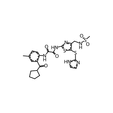 Cc1ccc(NC(=O)C(=O)Nc2nc(CNS(C)(=O)=O)c(Sc3ncc[nH]3)s2)c(C(=O)C2CCCC2)c1